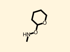 CNOC1CCCCO1